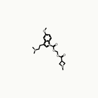 COc1ccc2c(c1)c(CCN(C)C)cn2C(=O)OCOC(=O)C1CN(C)C1